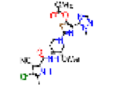 COC(=O)Oc1sc(N2CC[C@@H](NC(=O)c3[nH]c(C)c(Cl)c3C#N)[C@@H](OC)C2)nc1-c1ncnn1C